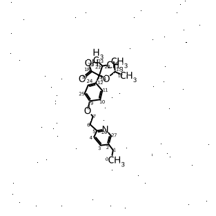 CCc1ccc(CCOc2ccc(C(OC(C)C)(C(=O)O)C(C)C)cc2)nc1